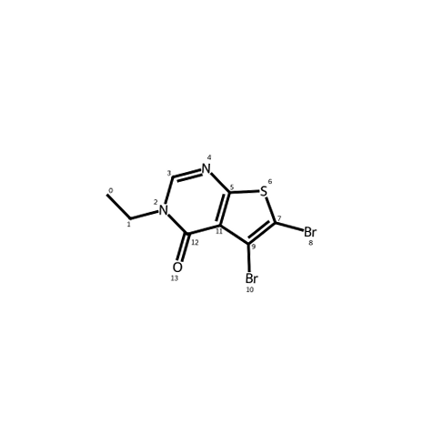 CCn1cnc2sc(Br)c(Br)c2c1=O